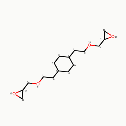 C(CC1CCC(CCOCC2CO2)CC1)OCC1CO1